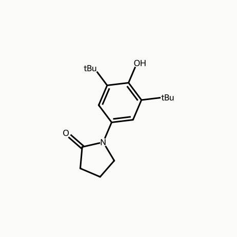 CC(C)(C)c1cc(N2CCCC2=O)cc(C(C)(C)C)c1O